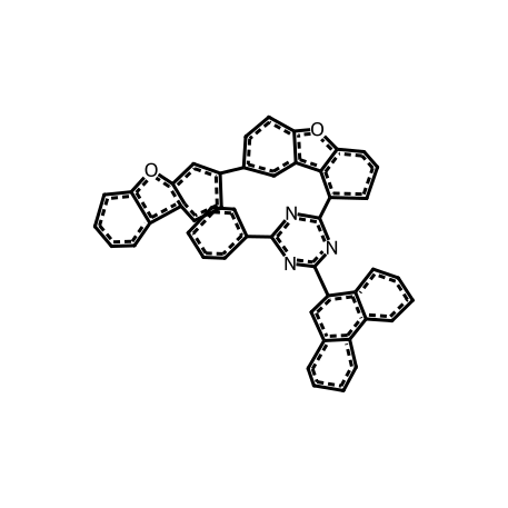 c1ccc(-c2nc(-c3cc4ccccc4c4ccccc34)nc(-c3cccc4oc5ccc(-c6ccc7c(c6)oc6ccccc67)cc5c34)n2)cc1